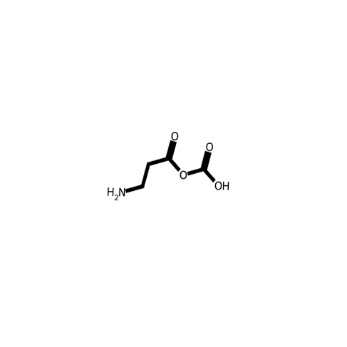 NCCC(=O)OC(=O)O